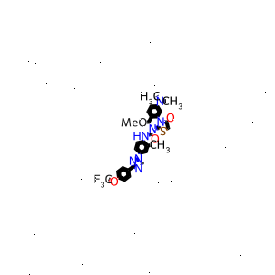 COCc1ccc(N(C)C)cc1N1C(=O)CS/C1=N\C(=O)Nc1ccc(-n2cnc(-c3ccc(OC(F)(F)F)cc3)n2)cc1C